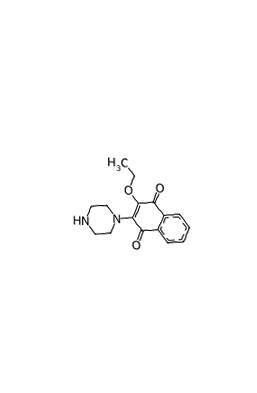 CCOC1=C(N2CCNCC2)C(=O)c2ccccc2C1=O